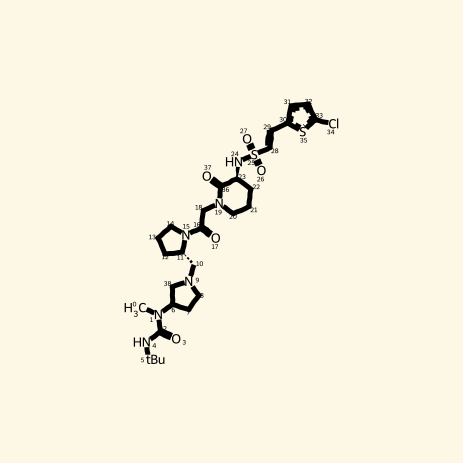 CN(C(=O)NC(C)(C)C)C1CCN(C[C@@H]2CCCN2C(=O)CN2CCC[C@H](NS(=O)(=O)/C=C/c3ccc(Cl)s3)C2=O)C1